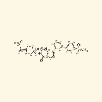 CS(=O)(=O)c1ccc(-c2cccc(-n3ncc4c(=O)n(CC5(O)CCN(C(=O)C6CC6)CC5)cnc43)c2)cc1